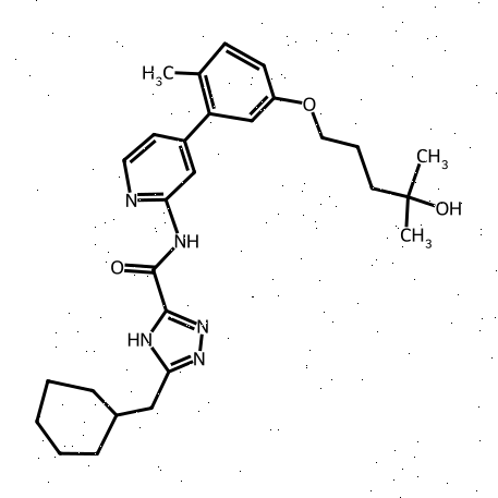 Cc1ccc(OCCCC(C)(C)O)cc1-c1ccnc(NC(=O)c2nnc(CC3CCCCC3)[nH]2)c1